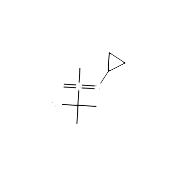 CC(C)(C#N)S(C)(=O)=NC1CC1